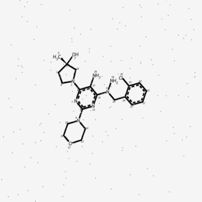 C[C@]1(O)CCN(c2nc(N3CCOCC3)nc(N(N)Cc3ccccc3Cl)c2N)C1